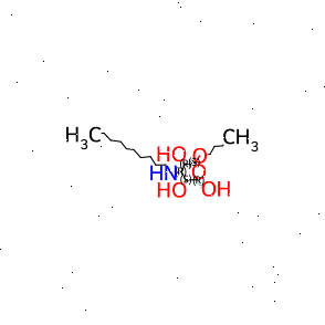 CCCCCCCCCCN[C@H]1[C@@H](O)[C@@H](OCCCC)O[C@H](CO)[C@H]1O